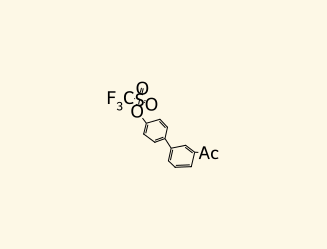 CC(=O)c1cccc(-c2ccc(OS(=O)(=O)C(F)(F)F)cc2)c1